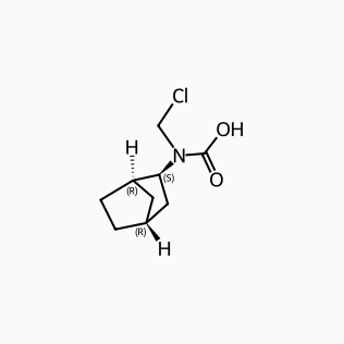 O=C(O)N(CCl)[C@H]1C[C@@H]2CC[C@@H]1C2